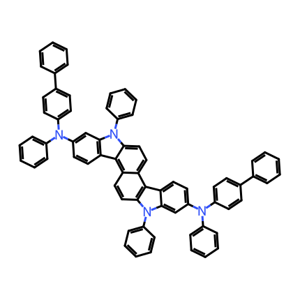 c1ccc(-c2ccc(N(c3ccccc3)c3ccc4c5c6ccc7c(c6ccc5n(-c5ccccc5)c4c3)c3ccc(N(c4ccccc4)c4ccc(-c5ccccc5)cc4)cc3n7-c3ccccc3)cc2)cc1